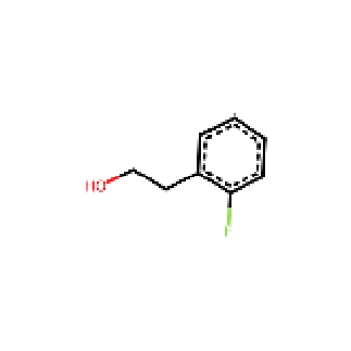 OCCc1c[c]ccc1F